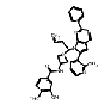 C=CCC(N1CC(NC(=O)c2ccc(C=O)c(O)c2)C1)n1c(-c2cccnc2N)nc2ccc(-c3ccccc3)nc21